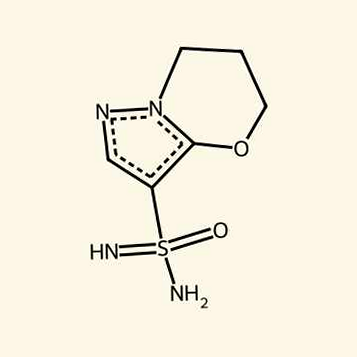 N=S(N)(=O)c1cnn2c1OCCC2